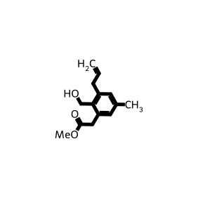 C=CCc1cc(C)cc(CC(=O)OC)c1CO